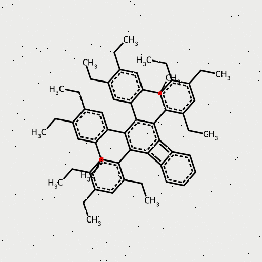 CCc1cc(CC)c(-c2c(-c3cc(CC)c(CC)cc3CC)c(-c3cc(CC)c(CC)cc3CC)c3c(c2-c2cc(CC)c(CC)cc2CC)=c2ccccc2=3)cc1CC